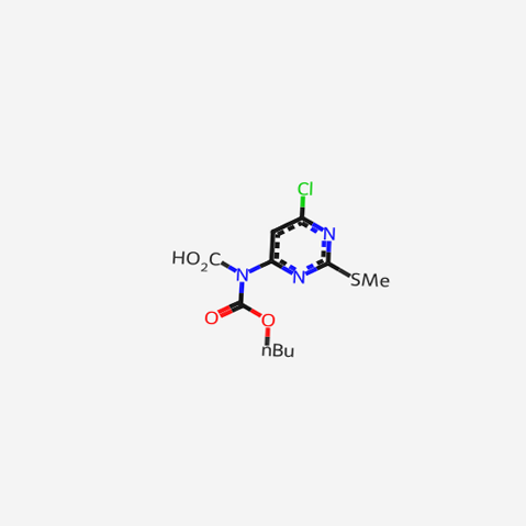 CCCCOC(=O)N(C(=O)O)c1cc(Cl)nc(SC)n1